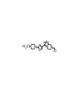 CN1CCN(c2nc(-c3nnc4n3CCN(C=O)C4)cs2)CC1